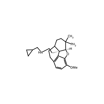 COc1ccc2c3c1O[C@@H]1C(C)(P)CCC(CC2)[C@]31CCNCC1CC1